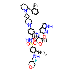 CC(C)c1ccccc1[C@H]1CCCCN1C1CC2(CCN(c3ccc(C(=O)NS(=O)(=O)c4ccc(NCC5(F)CCOCC5)c([N+](=O)[O-])c4)c(N4c5cc6cc[nH]c6nc5O[C@H]5COCC[C@@H]54)c3)CC2)C1